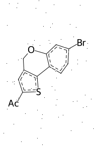 CC(=O)c1cc2c(s1)-c1ccc(Br)cc1OC2